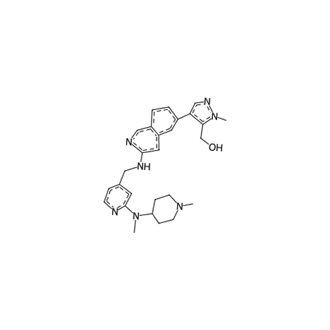 CN1CCC(N(C)c2cc(CNc3cc4cc(-c5cnn(C)c5CO)ccc4cn3)ccn2)CC1